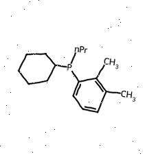 CCCP(c1cccc(C)c1C)C1CCCCC1